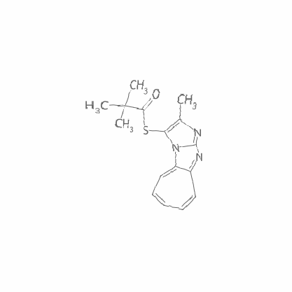 Cc1nc2nc3cccccc3n2c1SC(=O)C(C)(C)C